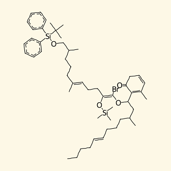 CCCCC=CCCCC(C)CC(OC(Br)=C(CCC=C(C)CCCC(C)CO[Si](c1ccccc1)(c1ccccc1)C(C)(C)C)O[Si](C)(C)C)C1=C(C)C=CCC1=O